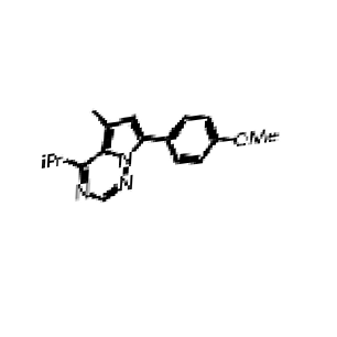 COc1ccc(-c2cc(C)c3c(C(C)C)ncnn23)cc1